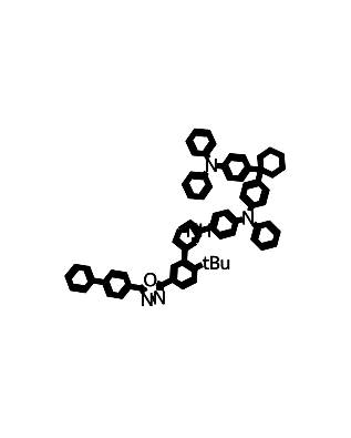 CC(C)(C)c1ccc(-c2nnc(-c3ccc(-c4ccccc4)cc3)o2)cc1C1=CC2C=C(c3ccc(N(c4ccccc4)c4ccc(C5(c6ccc(N(c7ccccc7)c7ccccc7)cc6)CCCCC5)cc4)cc3)C1N2